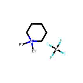 CC[N+]1(CC)CCCCC1.F[B-](F)(F)F